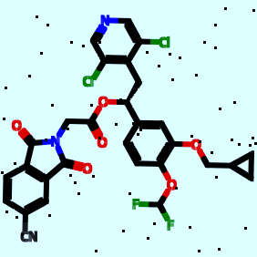 N#Cc1ccc2c(c1)C(=O)N(CC(=O)O[C@@H](Cc1c(Cl)cncc1Cl)c1ccc(OC(F)F)c(OCC3CC3)c1)C2=O